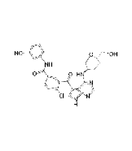 N#Cc1cccc(NC(=O)c2ccc(Cl)c(C(=O)c3c[nH]c4ncnc(N[C@@H]5CC[C@@H](CO)OC5)c34)c2)c1